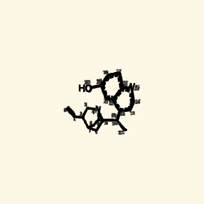 C=CC1CN2CCC1CC2[C@H](C)c1ccnc2ccc(O)cc12